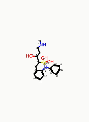 CNCCC(O)C1Cc2ccccc2N(c2ccccc2)S1(O)O